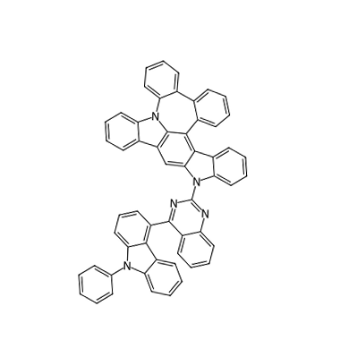 c1ccc(-n2c3ccccc3c3c(-c4nc(-n5c6ccccc6c6c7c8c(cc65)c5ccccc5n8-c5ccccc5-c5ccccc5-7)nc5ccccc45)cccc32)cc1